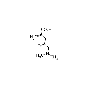 C=C(CC(O)CN(C)C)C(=O)O